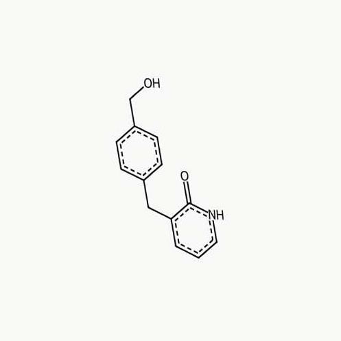 O=c1[nH]cccc1Cc1ccc(CO)cc1